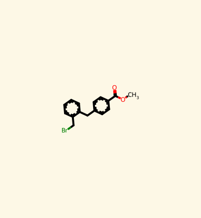 COC(=O)c1ccc(Cc2ccccc2CBr)cc1